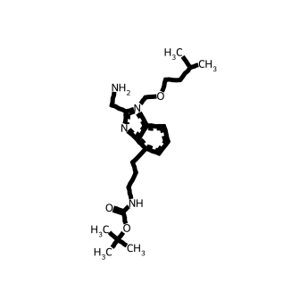 CC(C)CCOCn1c(CN)nc2c(CCCNC(=O)OC(C)(C)C)cccc21